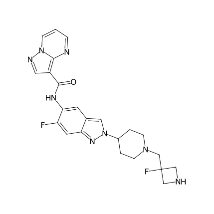 O=C(Nc1cc2cn(C3CCN(CC4(F)CNC4)CC3)nc2cc1F)c1cnn2cccnc12